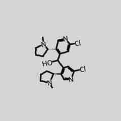 CN1CCC[C@H]1c1cnc(Cl)cc1C(O)c1cc(Cl)ncc1[C@@H]1CCCN1C